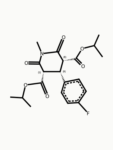 CC(C)OC(=O)[C@@H]1C(=O)N(C)C(=O)[C@H](C(=O)OC(C)C)[C@@H]1c1ccc(F)cc1